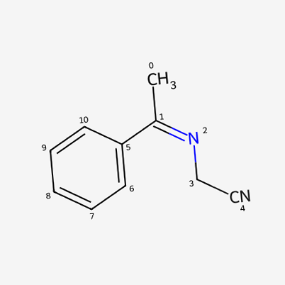 C/C(=N/CC#N)c1ccccc1